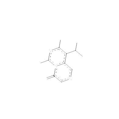 CC(C)c1nc(C(C)C)n2c(=O)cncc2c1C(C)I